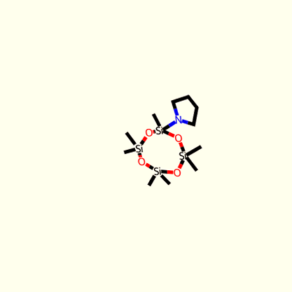 C[Si]1(C)O[Si](C)(C)O[Si](C)(N2CCCC2)O[Si](C)(C)O1